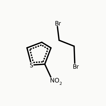 BrCCBr.O=[N+]([O-])c1cccs1